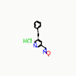 CON=Cc1cncc(C#Cc2ccccc2)c1.Cl